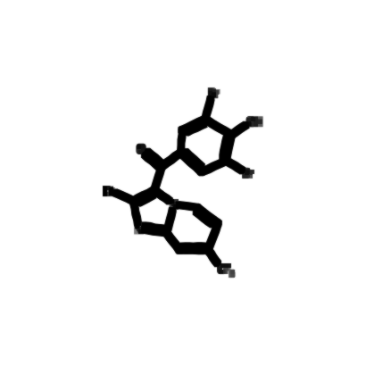 CCc1nc2cc(C(F)(F)F)ccn2c1C(=O)c1cc(Br)c(O)c(Br)c1